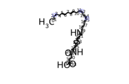 CC/C=C\CC=CCC=CC/C=C\C/C=C\CCCCNCCSSCCNC(=O)CCC(=O)O